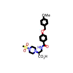 COc1ccc(COc2ccc(C(=O)NC[C@@H](C(=O)O)N3CCN(S(C)(=O)=O)CC3)cc2)cc1